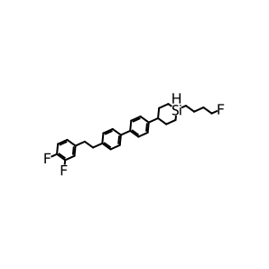 FCCCC[SiH]1CCC(c2ccc(-c3ccc(CCc4ccc(F)c(F)c4)cc3)cc2)CC1